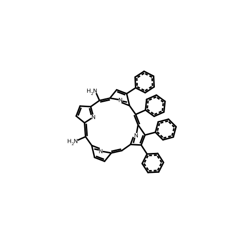 NC1=C2C=CC(=N2)C(N)=C2C=C(c3ccccc3)C(=N2)C(c2ccccc2)=C2N=C(C=C3C=CC1=N3)C(c1ccccc1)=C2c1ccccc1